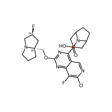 O=C(O)N1C2CCC1CN(c1nc(OC[C@]34CCCN3C[C@@H](F)C4)nc3c(F)c(Cl)ncc13)C2